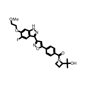 COCCOc1cc2[nH]nc(-c3cc(-c4ccc(C(=O)N5CCC5C(C)(C)O)cc4)on3)c2cc1F